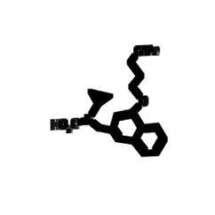 COCCCOc1cc(CN(C(=O)O)C2CC2)cc2ccccc12